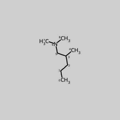 CCCC(C)[CH]N(C)C